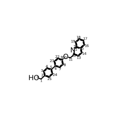 OCc1ccc(-c2ccc(OCc3ccc4ccccc4n3)cc2)cc1